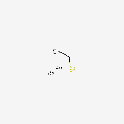 CCCS.[Zn].[Zn]